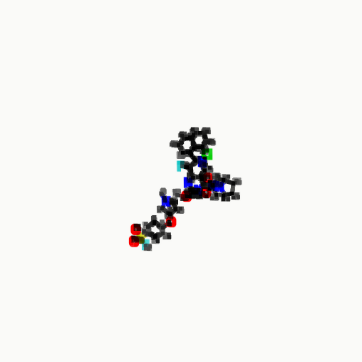 CN1C[C@H](Oc2ccc(S(=O)(=O)F)cc2)C[C@H]1COc1nc(N2CC3CCC(C2)N3C(=O)OC(C)(C)C)c2cnc(-c3cccc4cccc(Cl)c34)c(F)c2n1